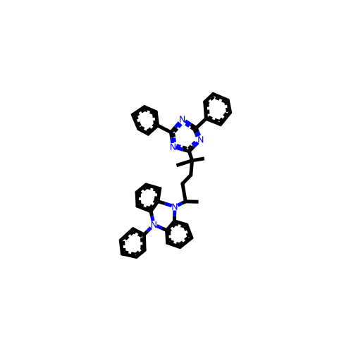 CC(CCC(C)(C)c1nc(-c2ccccc2)nc(-c2ccccc2)n1)N1c2ccccc2N(c2ccccc2)c2ccccc21